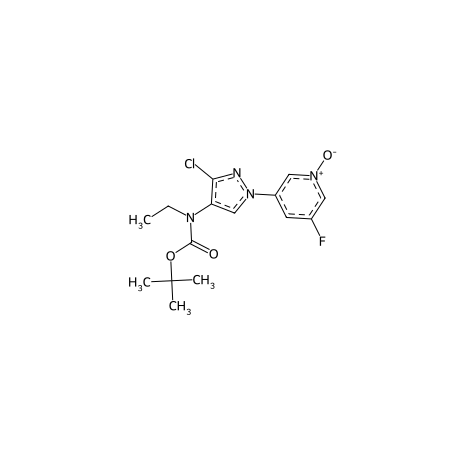 CCN(C(=O)OC(C)(C)C)c1cn(-c2cc(F)c[n+]([O-])c2)nc1Cl